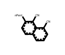 CCCCCc1ccc2cccc(C#N)c2c1C#N